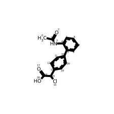 CC(=O)Nc1ccccc1-c1ccc(C(Cl)C(=O)O)cc1